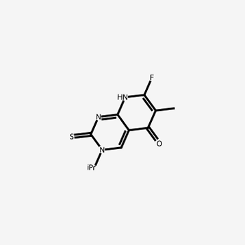 Cc1c(F)[nH]c2nc(=S)n(C(C)C)cc2c1=O